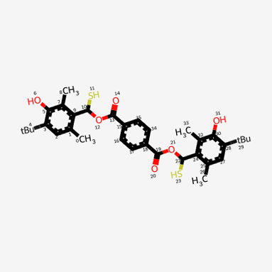 Cc1cc(C(C)(C)C)c(O)c(C)c1C(S)OC(=O)c1ccc(C(=O)OC(S)c2c(C)cc(C(C)(C)C)c(O)c2C)cc1